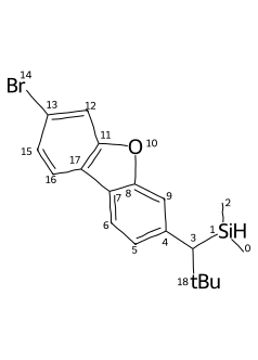 C[SiH](C)C(c1ccc2c(c1)oc1cc(Br)ccc12)C(C)(C)C